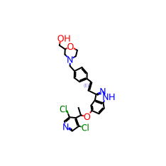 CC(Oc1ccc2[nH]nc(/C=C/c3ccc(CN4CCOC(CO)C4)cc3)c2c1)c1c(Cl)cncc1Cl